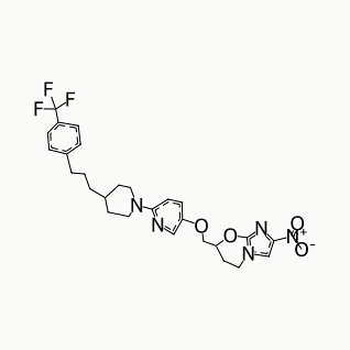 O=[N+]([O-])c1cn2c(n1)OC(COc1ccc(N3CCC(CCCc4ccc(C(F)(F)F)cc4)CC3)nc1)CC2